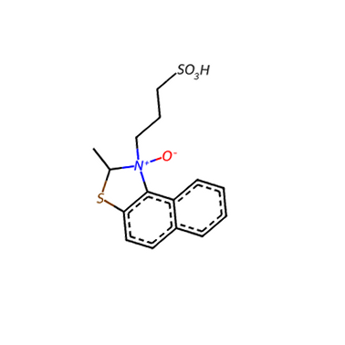 CC1Sc2ccc3ccccc3c2[N+]1([O-])CCCS(=O)(=O)O